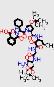 CCCC(NC(=O)[C@@H]1C[C@@H](OC(C)(C)C)CN1C(=O)[C@@H](NC(=O)c1ccccc1C(=O)O)C1CCCCC1)C(=O)C(=O)NCC(=O)N[C@H](CC(=O)OC(C)(C)C)C(N)=O